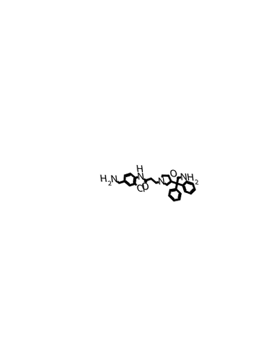 NCc1ccc(NC(=O)CCN2CCC(C(C(N)=O)(c3ccccc3)c3ccccc3)C2)c(Cl)c1